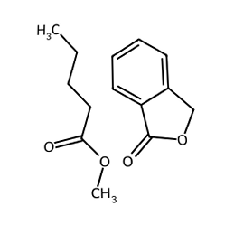 CCCCC(=O)OC.O=C1OCc2ccccc21